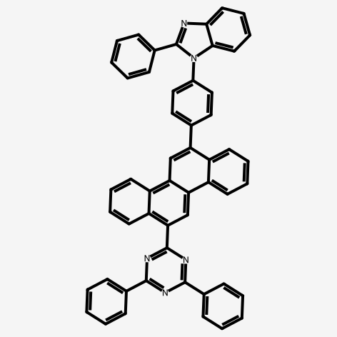 c1ccc(-c2nc(-c3ccccc3)nc(-c3cc4c5ccccc5c(-c5ccc(-n6c(-c7ccccc7)nc7ccccc76)cc5)cc4c4ccccc34)n2)cc1